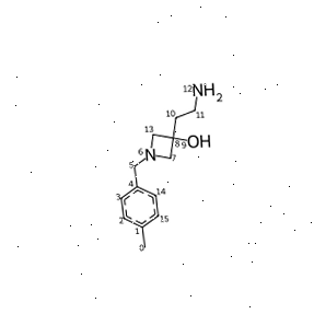 Cc1ccc(CN2CC(O)(CCN)C2)cc1